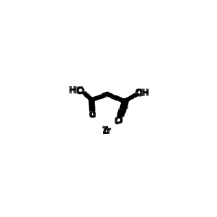 O=C(O)CC(=O)O.[Zr]